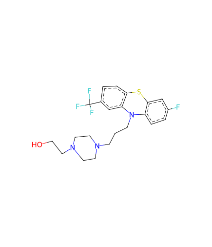 OCCN1CCN(CCCN2c3ccc(F)cc3Sc3ccc(C(F)(F)F)cc32)CC1